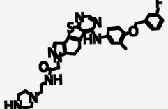 Cc1cc(Nc2ncnc3sc4c(c23)CCc2c-4cnn2CC(=O)NCCN2CCNCC2)ccc1OCc1cccc(F)c1